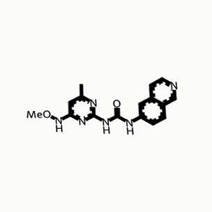 CONc1cc(C)nc(NC(=O)Nc2ccc3cnccc3c2)n1